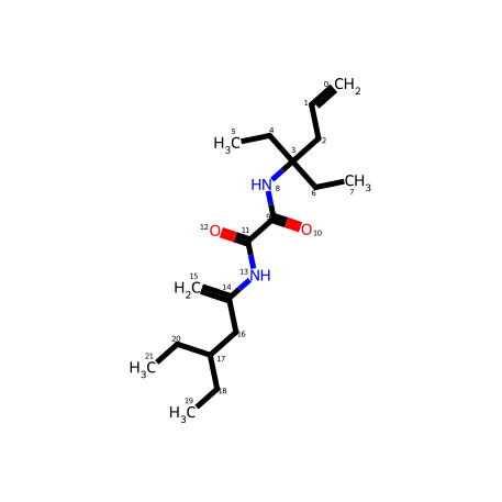 C=CCC(CC)(CC)NC(=O)C(=O)NC(=C)CC(CC)CC